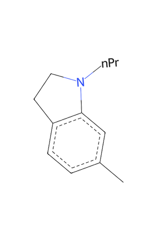 CCCN1CCc2ccc(C)cc21